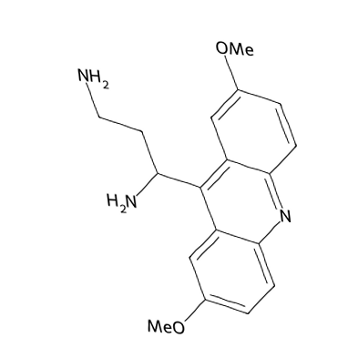 COc1ccc2nc3ccc(OC)cc3c(C(N)CCN)c2c1